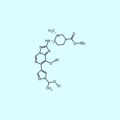 CCOC(C)n1cc(-c2ncn3nc(N[C@H]4CCN(C(=O)OC(C)(C)C)C[C@H]4C)nc3c2OC(C)C)cn1